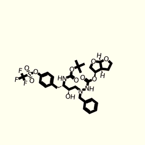 CC(C)(C)OC(=O)N[C@@H](Cc1ccc(OS(=O)(=O)C(F)(F)F)cc1)[C@@H](O)CN(Cc1ccccc1)NC(=O)O[C@H]1CO[C@H]2OCC[C@H]21